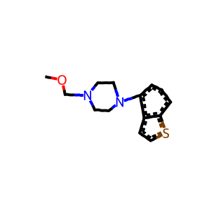 COCN1CCN(c2cccc3sccc23)CC1